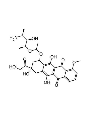 COc1cccc2c1C(=O)c1c(O)c3c(c(O)c1C2=O)C[C@@](O)(C(=O)CO)C[C@@H]3OC(C)O[C@@H](C)[C@H](O)[C@H](C)N